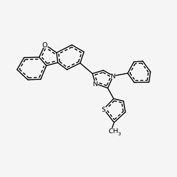 Cc1ccc(-c2nc(-c3ccc4oc5ccccc5c4c3)cn2-c2ccccc2)s1